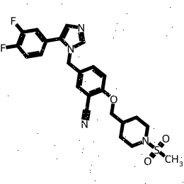 CS(=O)(=O)N1CCC(COc2ccc(Cn3cncc3-c3ccc(F)c(F)c3)cc2C#N)CC1